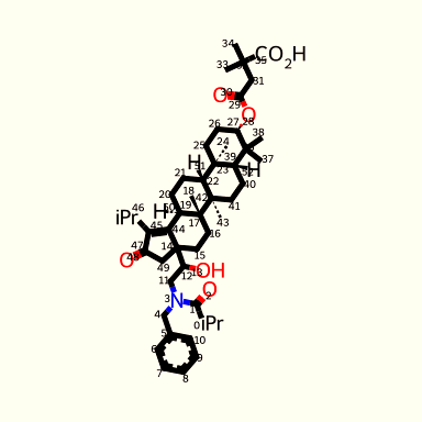 CC(C)C(=O)N(Cc1ccccc1)CC(O)C12CC[C@]3(C)[C@H](CC[C@@H]4[C@@]5(C)CC[C@H](OC(=O)CC(C)(C)C(=O)O)C(C)(C)[C@@H]5CC[C@]43C)C1=C(C(C)C)C(=O)C2